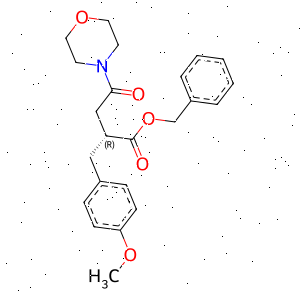 COc1ccc(C[C@H](CC(=O)N2CCOCC2)C(=O)OCc2ccccc2)cc1